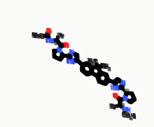 COC(=O)N[C@H](C(=O)N1CCCC1c1ncc(-c2ccc3c(c2)C(C)(C)c2cc(-c4cnc([C@@H]5CCCN5C(=O)[C@@H](NC(=O)O)C(C)C)[nH]4)ccc2-3)[nH]1)C(C)C